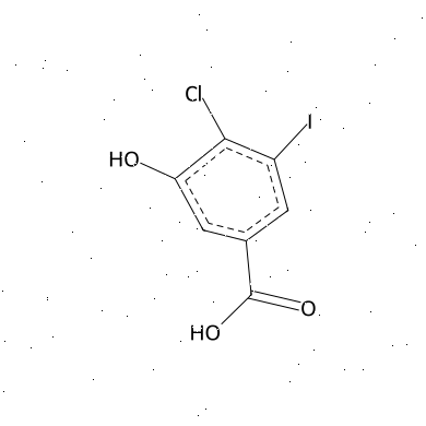 O=C(O)c1cc(O)c(Cl)c(I)c1